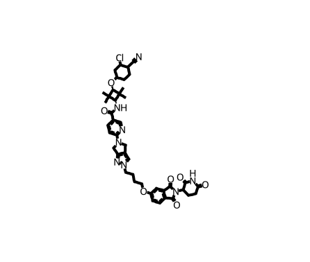 CC1(C)[C@H](NC(=O)c2ccc(N3Cc4cn(CCCCOc5ccc6c(c5)C(=O)N(C5CCC(=O)NC5=O)C6=O)nc4C3)nc2)C(C)(C)[C@H]1OC1CCC(C#N)C(Cl)C1